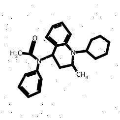 CC(=O)N(c1ccccc1)C1CC(C)N(C2CCCCC2)c2ccccc21